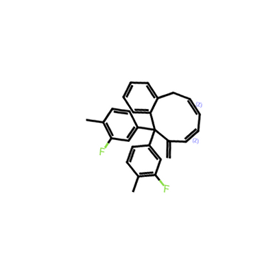 C=C1/C=C\C=C/Cc2ccccc2C1(c1ccc(C)c(F)c1)c1ccc(C)c(F)c1